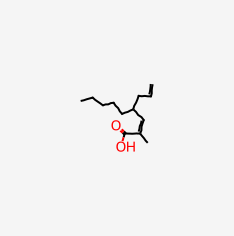 C=CCC(C=C(C)C(=O)O)CCCCC